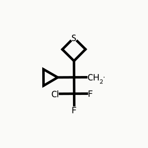 [CH2]C(C1CC1)(C1CSC1)C(F)(F)Cl